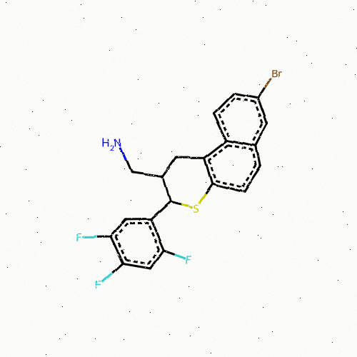 NCC1Cc2c(ccc3cc(Br)ccc23)SC1c1cc(F)c(F)cc1F